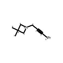 CC(C)C#CCN1CC(C)(C)C1